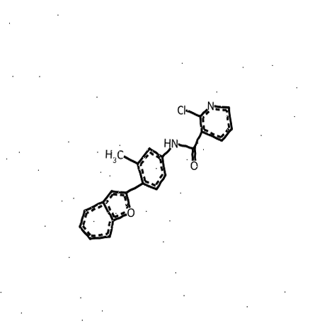 Cc1cc(NC(=O)c2cccnc2Cl)ccc1-c1cc2ccccc2o1